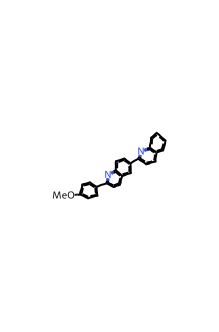 COc1ccc(-c2ccc3cc(-c4ccc5ccccc5n4)ccc3n2)cc1